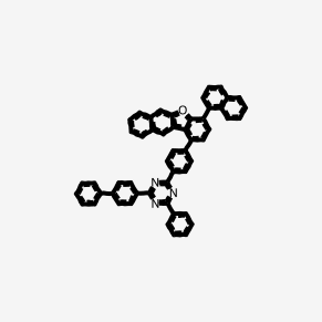 c1ccc(-c2ccc(-c3nc(-c4ccccc4)nc(-c4ccc(-c5ccc(-c6cccc7ccccc67)c6oc7cc8ccccc8cc7c56)cc4)n3)cc2)cc1